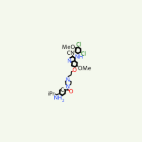 COc1cc(Nc2c(C#N)cnc3cc(OCCCN4CCN(C(=O)c5ccc(C(N)C(C)C)cc5)CC4)c(OC)cc23)c(Cl)cc1Cl